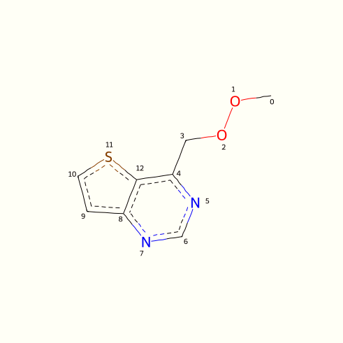 COOCc1ncnc2ccsc12